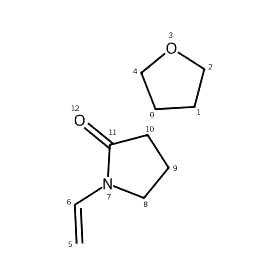 C1CCOC1.C=CN1CCCC1=O